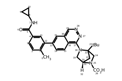 Cc1ccc(C(=O)NC2CC2)cc1-c1ccc2c(N3C[C@@H]4CC3(C(C)(C)C)CN4C(=O)O)nncc2c1